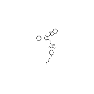 CCCCCc1ccc(S(=O)(=O)NCCc2nc(-c3ccccc3)[nH]c2-c2cc3ccccc3o2)cc1